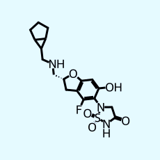 O=C1CN(c2c(O)cc3c(c2F)C[C@H](CNCC2C4CCCC42)O3)S(=O)(=O)N1